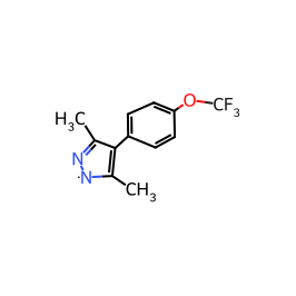 CC1=N[N]C(C)=C1c1ccc(OC(F)(F)F)cc1